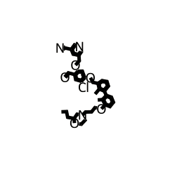 CCCC1CN(CCCOc2cccc(-c3cccc(COc4cc(OCc5cncc(C#N)c5)c(C=O)cc4Cl)c3C)c2C)CCO1